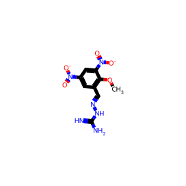 COc1c(C=NNC(=N)N)cc([N+](=O)[O-])cc1[N+](=O)[O-]